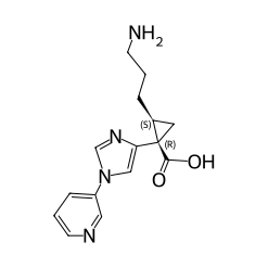 NCCC[C@H]1C[C@]1(C(=O)O)c1cn(-c2cccnc2)cn1